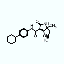 C#CCC1(C)NC(=O)C(C(=O)Nc2ccc(C3CCCCC3)cc2)=C1O